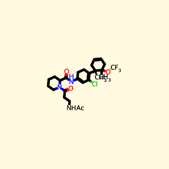 CC(=O)NCCC(=O)N1CCCCC1C(=O)NC1=CC(Cl)=C([C@]2(C)CC=CCC2(C)OC(F)(F)F)CC1